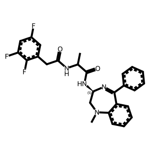 CC(NC(=O)Cc1cc(F)cc(F)c1F)C(=O)N[C@@H]1CN(C)c2ccccc2C(c2ccccc2)=N1